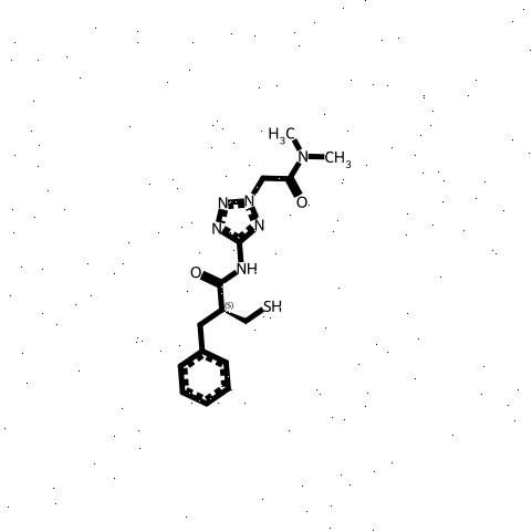 CN(C)C(=O)Cn1nnc(NC(=O)[C@@H](CS)Cc2ccccc2)n1